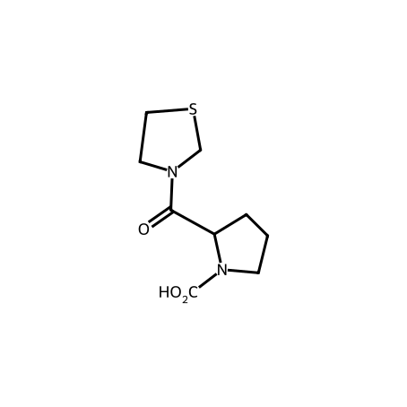 O=C(C1CCCN1C(=O)O)N1CCSC1